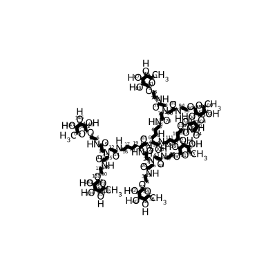 C[C@@H]1O[C@@H](OCCNC(=O)CN(CC(=O)NCCCC[C@H](NC(=O)CN(CC(=O)NCCO[C@@H]2O[C@@H](C)[C@@H](O)[C@@H](O)[C@@H]2O)CC(=O)NCCO[C@@H]2O[C@@H](C)[C@@H](O)[C@@H](O)[C@@H]2O)C(=O)N[C@@H](CCCCNC(=O)CN(CC(=O)NCCO[C@@H]2O[C@@H](C)[C@@H](O)[C@@H](O)[C@@H]2O)CC(=O)NCCO[C@@H]2O[C@@H](C)[C@@H](O)[C@@H](O)[C@@H]2O)C(=O)NCCCCCC(=O)ON2C(=O)CCC2=O)CC(=O)NCCO[C@@H]2O[C@@H](C)[C@@H](O)[C@@H](O)[C@@H]2O)[C@@H](O)[C@H](O)[C@@H]1O